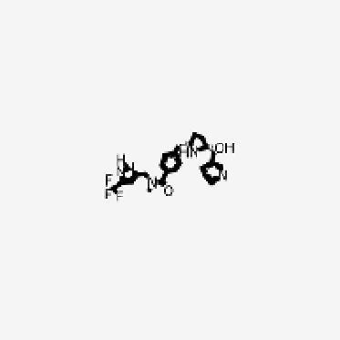 CN(Cc1cc(C(F)(F)F)[nH]n1)C(=O)c1ccc(C[C@@H]2CC[C@H](C(O)c3cccnc3)N2)cc1